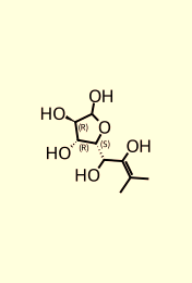 CC(C)=C(O)C(O)[C@H]1OC(O)[C@H](O)[C@H]1O